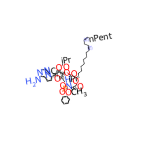 CCCCC/C=C\C/C=C\CCCCCCCCOC(=O)[C@H](C)NP(=O)(OC[C@H]1O[C@@](C#N)(c2ccc3c(N)ncnn23)[C@H](OC(=O)C(C)C)[C@@H]1OC(=O)C(C)C)Oc1ccccc1